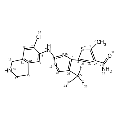 Cc1sc(-c2nc(Nc3cc4c(cc3Cl)CNCC4)ncc2C(F)(F)F)cc1C(N)=O